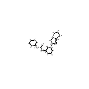 S=C(Nc1ccccc1)Nc1cccc(C2CN3CCSC3=N2)c1